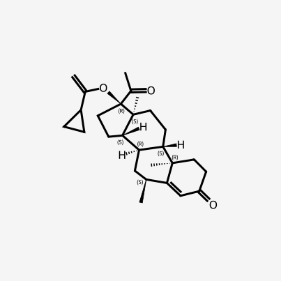 C=C(O[C@]1(C(C)=O)CC[C@H]2[C@@H]3C[C@H](C)C4=CC(=O)CC[C@]4(C)[C@H]3CC[C@@]21C)C1CC1